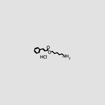 Cl.NCCCCCOC(=O)/C=C/c1ccccc1